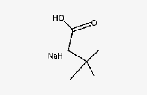 CC(C)(C)CC(=O)O.[NaH]